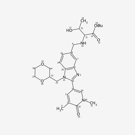 Cc1cc(-c2nc3cc(CNC(C(=O)OCC(C)C)C(C)O)ccc3n2CC2COCCO2)cn(C)c1=O